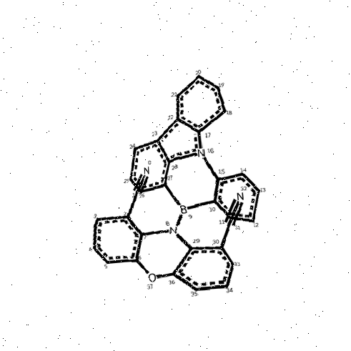 N#Cc1cccc2c1N(B1c3ccccc3-n3c4ccccc4c4cccc1c43)c1c(C#N)cccc1O2